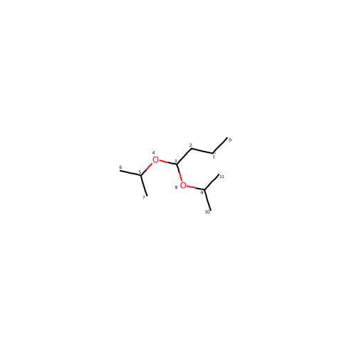 C[CH]CC(OC(C)C)OC(C)C